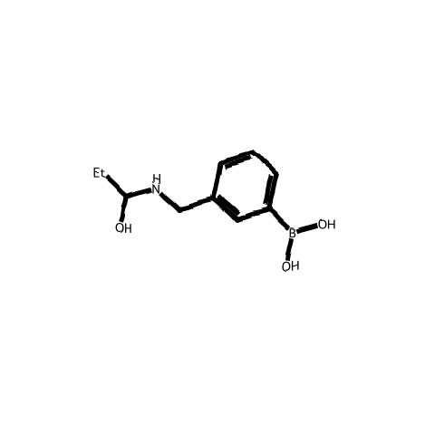 CCC(O)NCc1cccc(B(O)O)c1